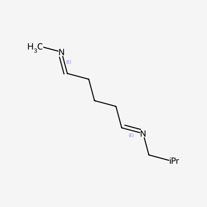 C/N=C/CCC/C=N/CC(C)C